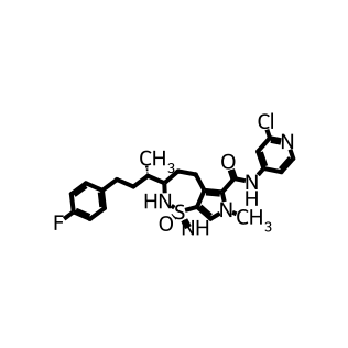 C[C@@H](CCc1ccc(F)cc1)C1CCc2c(cn(C)c2C(=O)Nc2ccnc(Cl)c2)S(=N)(=O)N1